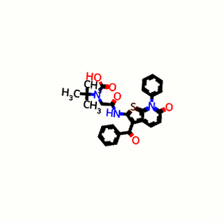 CC(C)(C)N(CC(=O)Nc1sc2c(ccc(=O)n2-c2ccccc2)c1C(=O)c1ccccc1)C(=O)O